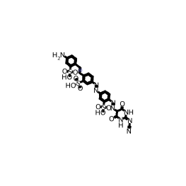 N#CN=C1NC(=O)C(N=Nc2ccc(N=Nc3ccc(/C=C/c4ccc(N)cc4S(=O)(=O)O)c(S(=O)(=O)O)c3)cc2S(=O)(=O)O)C(=O)N1